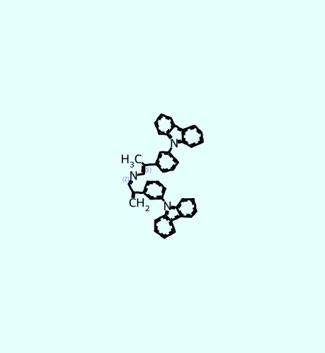 C=C(/C=N\C=C(/C)c1cccc(-n2c3ccccc3c3ccccc32)c1)c1cccc(-n2c3ccccc3c3ccccc32)c1